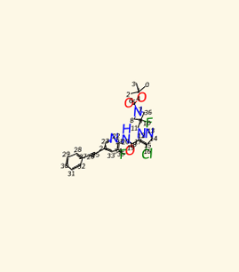 CC(C)(C)OC(=O)N1CC(F)(Cn2ncc(Cl)c2C(=O)Nc2ncc(C#Cc3ccccc3)cc2F)C1